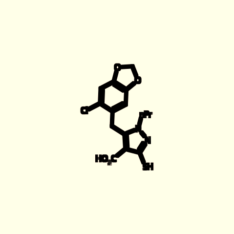 CCCn1nc(S)c(C(=O)O)c1Cc1cc2c(cc1Cl)OCO2